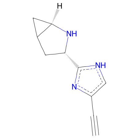 C#Cc1c[nH]c([C@@H]2CC3C[C@H]3N2)n1